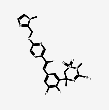 CN1C(N)=NC(C)(c2cc(C=C(F)c3cnc(OCc4nccn4C)cn3)cc(F)c2F)CS1(=O)=O